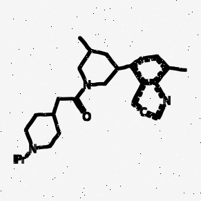 Cc1ccc(C2CC(C)CN(C(=O)CC3CCN(C(C)C)CC3)C2)c2cccnc12